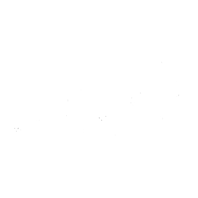 COC(=O)OC1=CCCN(CC2COc3ccccc3O2)C1